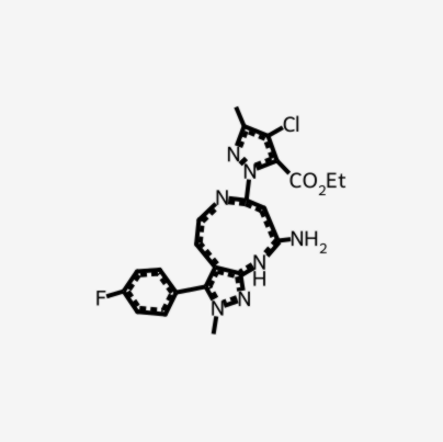 CCOC(=O)c1c(Cl)c(C)nn1-c1cc(N)[nH]c2nn(C)c(-c3ccc(F)cc3)c2ccn1